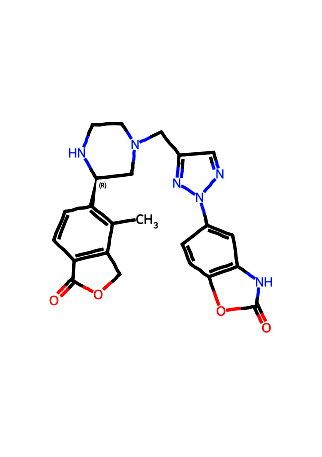 Cc1c([C@@H]2CN(Cc3cnn(-c4ccc5oc(=O)[nH]c5c4)n3)CCN2)ccc2c1COC2=O